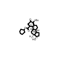 CCCCC1=C2CC[C@H]3[C@@H]4CC[C@H](O)[C@@]4(C)CC[C@@H]3[C@@]2(C)C(C(=O)OC2CCCCC2)CC1=O